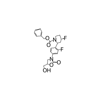 O=C1OC(CO)CN1c1ccc(C2C[C@H](F)CCN2C(=O)OCc2ccccc2)c(F)c1